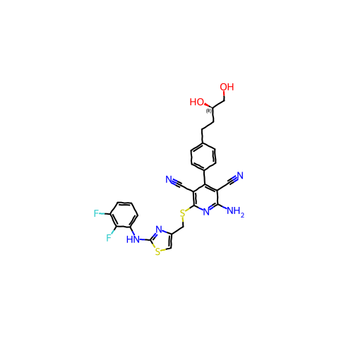 N#Cc1c(N)nc(SCc2csc(Nc3cccc(F)c3F)n2)c(C#N)c1-c1ccc(CC[C@@H](O)CO)cc1